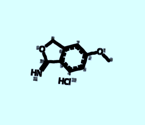 COc1ccc2c(c1)COC2=N.Cl